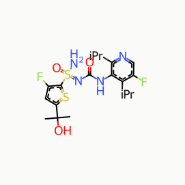 CC(C)c1ncc(F)c(C(C)C)c1NC(=O)N=S(N)(=O)c1sc(C(C)(C)O)cc1F